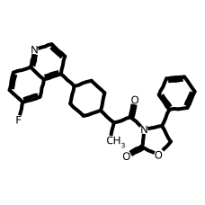 CC(C(=O)N1C(=O)OCC1c1ccccc1)C1CCC(c2ccnc3ccc(F)cc23)CC1